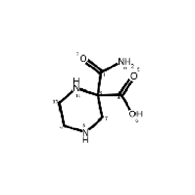 NC(=O)C1(C(=O)O)CNCCN1